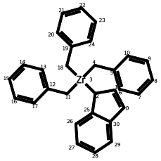 C1=C[CH]([Zr]([CH2]c2ccccc2)([CH2]c2ccccc2)[CH2]c2ccccc2)c2ccccc21